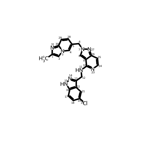 Cc1cn2cc(Cn3cc4c(NCc5n[nH]c6ccc(Cl)cc56)nccc4n3)ccc2n1